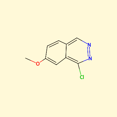 COc1ccc2cnnc(Cl)c2c1